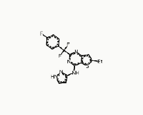 CCc1cc2nc(C(F)(F)c3ccc(F)cc3)nc(Nc3cc[nH]n3)c2s1